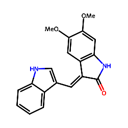 COc1cc2c(cc1OC)/C(=C\c1c[nH]c3ccccc13)C(=O)N2